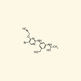 C#CCOc1nc(Nc2cc(CO)cc(NC(C)O)c2)ncc1Br